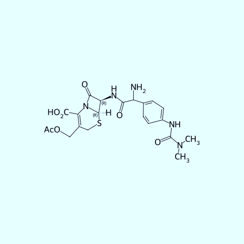 CC(=O)OCC1=C(C(=O)O)N2C(=O)[C@@H](NC(=O)C(N)c3ccc(NC(=O)N(C)C)cc3)[C@H]2SC1